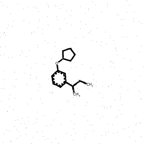 CCC(C)c1cccc(OC2CCCC2)c1